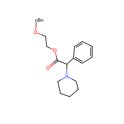 CCCCOCCOC(=O)C(c1ccccc1)N1CCCCC1